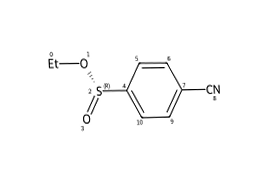 CCO[S@@](=O)c1ccc(C#N)cc1